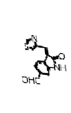 O=Cc1ccc2c(c1)NC(=O)/C2=C/c1cscn1